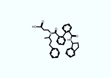 CC(CCc1ccccc1)N(CCC(=O)O)C(=O)c1ccccc1-c1ccccc1C(=O)NC1CCc2ccccc21